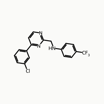 FC(F)(F)c1ccc(NCc2nccc(-c3cccc(Cl)c3)n2)cc1